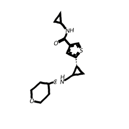 O=C(NC1CC1)c1csc([C@@H]2CC2NCC2CCOCC2)c1